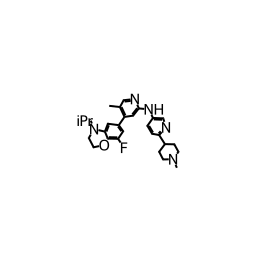 Cc1cnc(Nc2ccc(C3CCN(C)CC3)nc2)cc1-c1cc(F)c2c(c1)N(C(C)C)CCO2